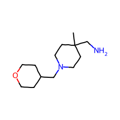 CC1(CN)CCN(CC2CCOCC2)CC1